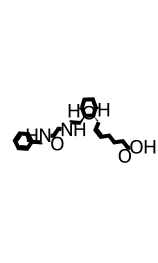 O=C(O)CCC/C=C\C[C@@H]1[C@@H](CCNCC(=O)NCc2ccccc2)[C@@H]2CC[C@H]1O2